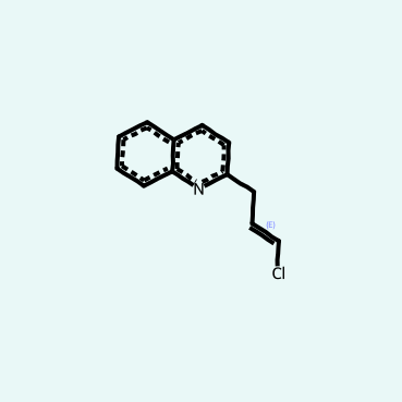 Cl/C=C/Cc1ccc2ccccc2n1